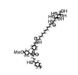 COc1ccc([C@@H]2[C@@H](CCC(O)c3ccc(F)cc3)C(=O)N2c2ccc(CNC(=O)CCCCCCCCCCC(=O)NC[C@H](O)[C@@H](O)C(O)[C@H](O)CO)cc2)cc1